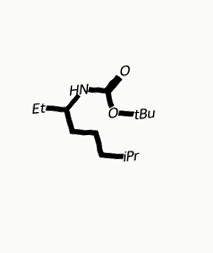 CCC(CCCC(C)C)NC(=O)OC(C)(C)C